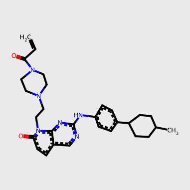 C=CC(=O)N1CCN(CCn2c(=O)ccc3cnc(Nc4ccc(C5CCC(C)CC5)cc4)nc32)CC1